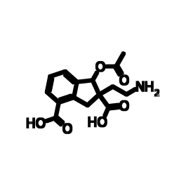 CC(=O)OC1c2cccc(C(=O)O)c2CC1(CCN)C(=O)O